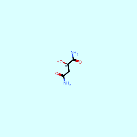 NC(=O)C[C@@H](O)C(N)=O